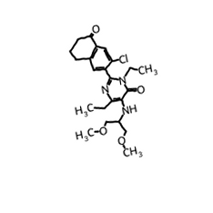 CCc1nc(-c2cc3c(cc2Cl)C(=O)CCC3)n(CC)c(=O)c1NC(COC)COC